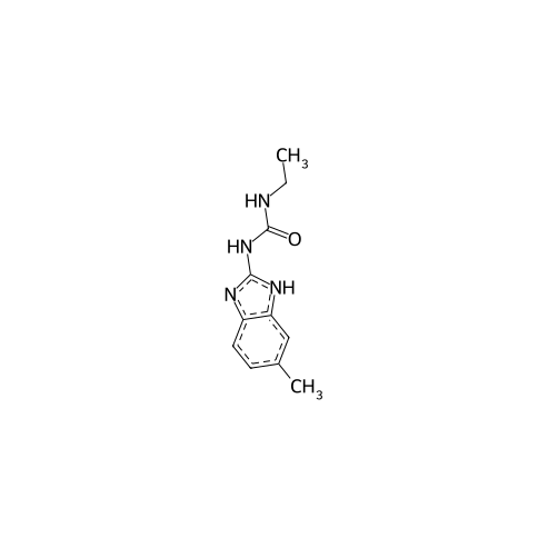 CCNC(=O)Nc1nc2ccc(C)cc2[nH]1